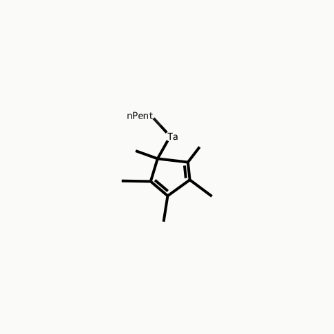 CCCC[CH2][Ta][C]1(C)C(C)=C(C)C(C)=C1C